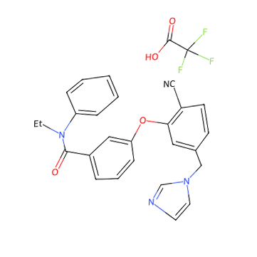 CCN(C(=O)c1cccc(Oc2cc(Cn3ccnc3)ccc2C#N)c1)c1ccccc1.O=C(O)C(F)(F)F